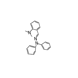 CN(C)c1ccccc1C=NN(c1ccccc1)c1ccccc1